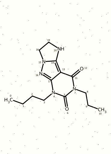 CCCCn1c(=O)n(CCC)c(=O)c2c3n(nc21)CCN3